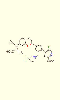 COc1cc(-c2ccc(C3CCc4ccc([C@H](C5CC5)[C@H](C)C(=O)O)cc4O3)cc2CN2CCC(F)(F)C2)c(F)cn1